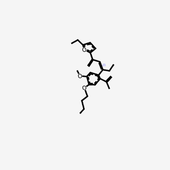 C=C(/C=C(/CC)c1cc(OC)c(OCCCC)cc1C(=C)C)c1ccc(CC)o1